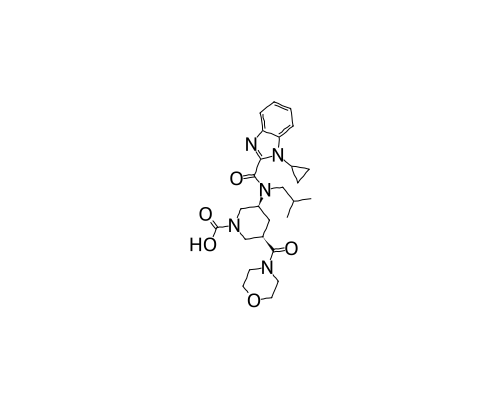 CC(C)CN(C(=O)c1nc2ccccc2n1C1CC1)[C@H]1C[C@@H](C(=O)N2CCOCC2)CN(C(=O)O)C1